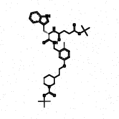 Cc1ccc(OCCC2CCCN(C(=O)OC(C)(C)C)C2)cc1CNC(=O)[C@H](Cc1c[nH]c2ccccc12)NC(=O)CCC(=O)OC(C)(C)C